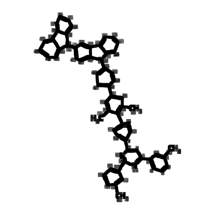 Cc1cccc(-c2cc(-c3ccc(-c4c(C)cc(-c5ccc(-n6c7ccccc7c7cc(-n8c9ccccc9c9ccccc98)ccc76)cc5)cc4C)cc3)nc(-c3cccc(C)c3)n2)c1